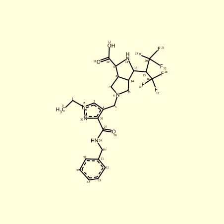 CCn1cc(CN2CC3C(C(=O)O)NC(C(C(F)(F)F)C(F)(F)F)C3C2)c(C(=O)NCc2ccccc2)n1